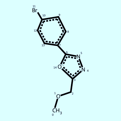 COCc1nnc(-c2ccc(Br)cc2)o1